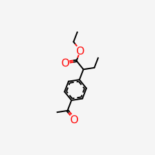 CCOC(=O)C(CC)c1ccc(C(C)=O)cc1